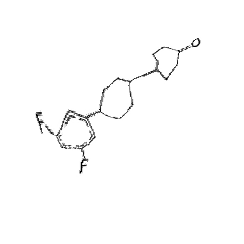 O=C1CCC(C2CCC(c3cc(F)cc(F)c3)CC2)CC1